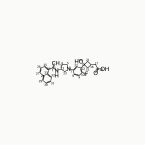 C[C@@H](NC1CCN(c2ccc(F)c(C3(O)CC(CC(=O)O)C3)c2)C1)c1cccc2ccccc12